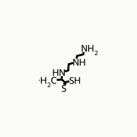 [CH2]C(NCCNCCN)C(=S)S